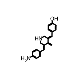 C=C1/C(=C/c2ccc(N)cc2)CNC/C1=C\c1ccc(O)cc1